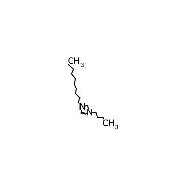 CCCCCCCCCCN1C=CN(CCCC)C1